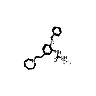 CNC(=O)Nc1cc(CCN2CCCCCC2)ccc1OCc1ccccc1